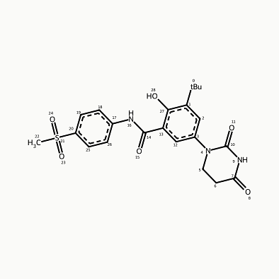 CC(C)(C)c1cc(N2CCC(=O)NC2=O)cc(C(=O)Nc2ccc(S(C)(=O)=O)cc2)c1O